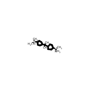 C[SiH](C)c1ccc(C(C)(C)c2ccc([SiH](C)C)cc2)cc1